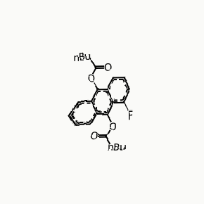 CCCCC(=O)Oc1c2ccccc2c(OC(=O)CCCC)c2c(F)cccc12